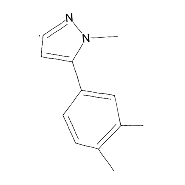 Cc1ccc(-c2c[c]nn2C)cc1C